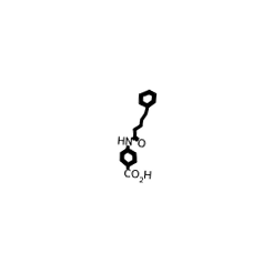 O=C(CCCCc1ccccc1)Nc1ccc(C(=O)O)cc1